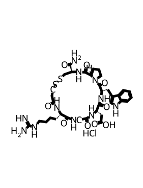 Cl.N=C(N)NCCCC[C@@H]1NC(=O)CCSSC[C@@H](C(N)=O)NC(=O)[C@@H]2CCCN2C(=O)[C@H](Cc2c[nH]c3ccccc23)NC(=O)[C@H](CC(=O)O)NC(=O)CNC1=O